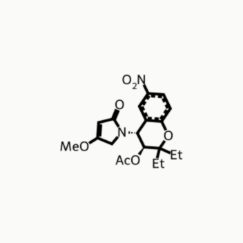 CCC1(CC)Oc2ccc([N+](=O)[O-])cc2[C@@H](N2CC(OC)=CC2=O)[C@@H]1OC(C)=O